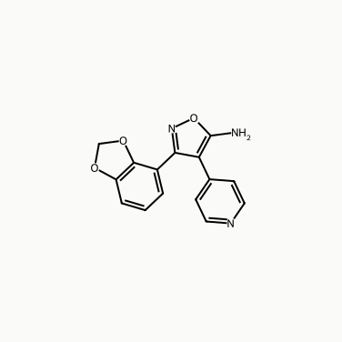 Nc1onc(-c2cccc3c2OCO3)c1-c1ccncc1